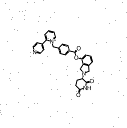 O=C1CC[C@@H](N2Cc3cccc(OC(=O)c4ccc(C[n+]5ccccc5-c5ccncc5)cc4)c3C2)C(=O)N1